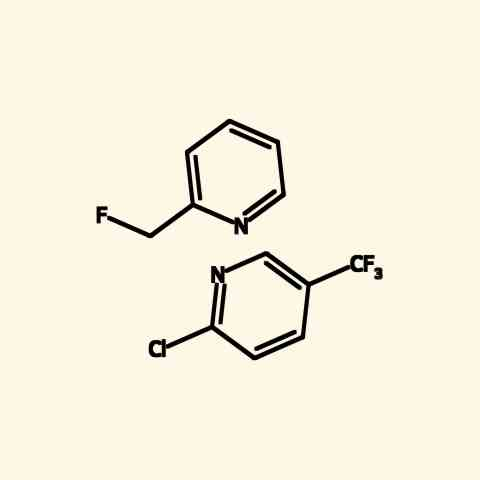 FC(F)(F)c1ccc(Cl)nc1.FCc1ccccn1